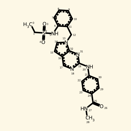 CCS(=O)(=O)Nc1ccccc1Cn1ccc2cnc(Nc3ccc(C(=O)NC)cc3)nc21